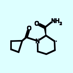 NC(=O)[C@H]1[CH]CCCN1C(=O)C1CCC1